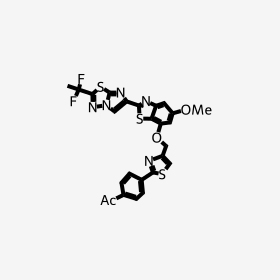 COc1cc(OCc2csc(-c3ccc(C(C)=O)cc3)n2)c2sc(-c3cn4nc(C(C)(F)F)sc4n3)nc2c1